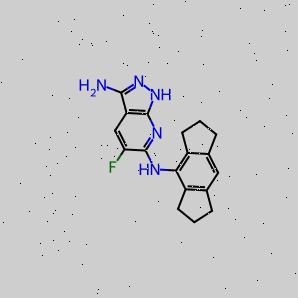 Nc1n[nH]c2nc(Nc3c4c(cc5c3CCC5)CCC4)c(F)cc12